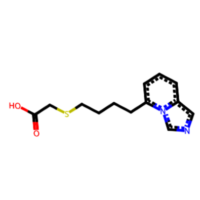 O=C(O)CSCCCCc1cccc2cncn12